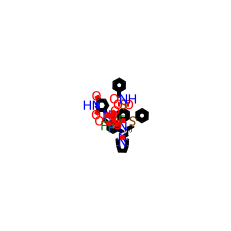 O=C1CCC(N2C(=O)c3ccc(CN4CC5CCC(C4)N5CC[C@H](CSc4ccccc4)Nc4ccc(S(=O)(=O)NC(=O)c5ccccc5)cc4S(=O)(=O)C(F)(F)F)c(F)c3C2=O)C(=O)N1